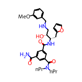 CCCN(CCC)C(=O)c1cc(C(N)=O)cc(C(=O)N[C@@H](Cc2ccco2)[C@H](O)CNCc2cccc(OC)c2)c1